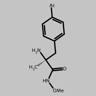 CONC(=O)[C@@](C)(N)Cc1ccc(C(C)=O)cc1